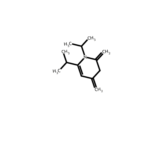 C=C1C=C(C(C)C)N(C(C)C)C(=C)C1